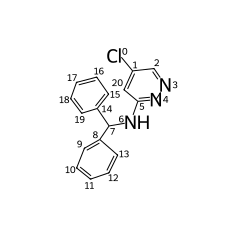 Clc1cnnc(NC(c2ccccc2)c2ccccc2)c1